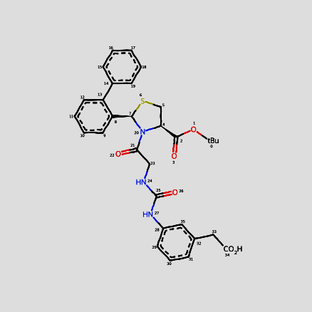 CC(C)(C)OC(=O)[C@@H]1CS[C@H](c2ccccc2-c2ccccc2)N1C(=O)CNC(=O)Nc1cccc(CC(=O)O)c1